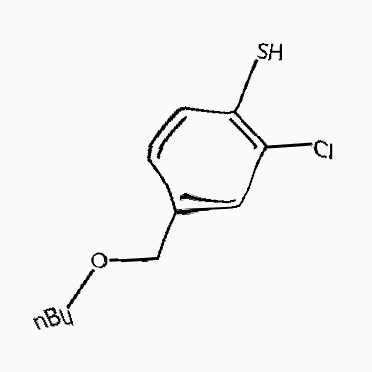 CCCCOCc1ccc(S)c(Cl)c1